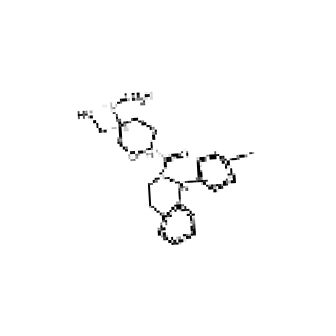 O=C(O)N[C@@]1(CO)CC[C@H](C(=O)N2CCc3ccccc3[C@@H]2c2ccc(F)cc2)OC1